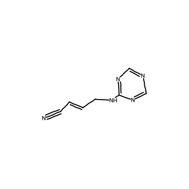 N#CC=CCNc1ncncn1